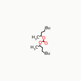 CCC(C)CCC(C)OC(=O)OC(C)CCC(C)CC